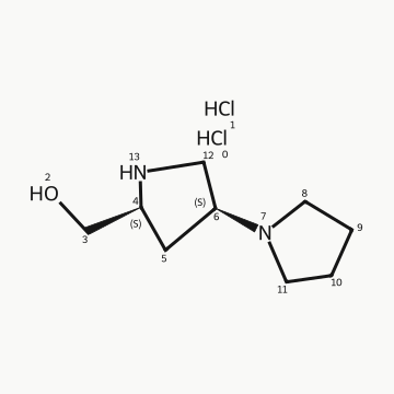 Cl.Cl.OC[C@@H]1C[C@H](N2CCCC2)CN1